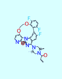 C=CC(=O)N1C[C@H](C)N(c2nc(=O)n3c4cc(c(F)cc24)-c2c(F)ccc(F)c2OCCOc2ccnc(C(C)C)c2-3)C[C@H]1C